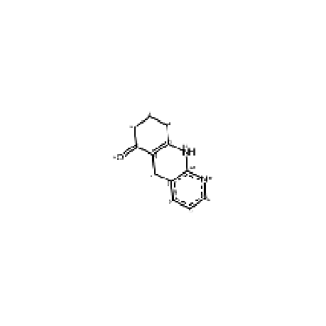 O=C1CCCC2=C1Cc1cccnc1N2